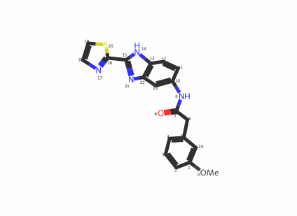 COc1cccc(CC(=O)Nc2ccc3[nH]c(-c4nccs4)nc3c2)c1